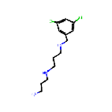 NCCCNCCCNCc1cc(Cl)cc(Cl)c1